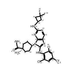 C[C@]1(C(N)=O)CC[C@@H](n2c(Nc3c(Cl)cc(C(F)(F)F)cc3Cl)nc3cnc(NC4CC(F)(F)C4)nc32)CC1